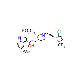 COc1ccc2nccc([C@H](O)CC[C@@H]3CCN(CC#Cc4cc(C(F)(F)F)ccc4Cl)C[C@H]3CCC(=O)O)c2c1